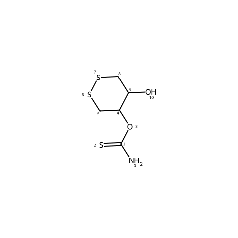 NC(=S)OC1CSSCC1O